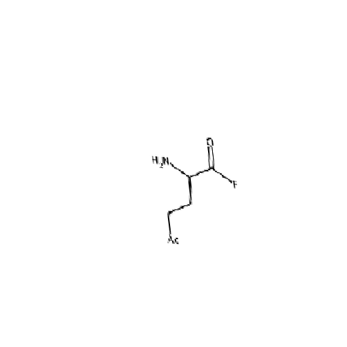 CC(=O)CCC(N)C(=O)F